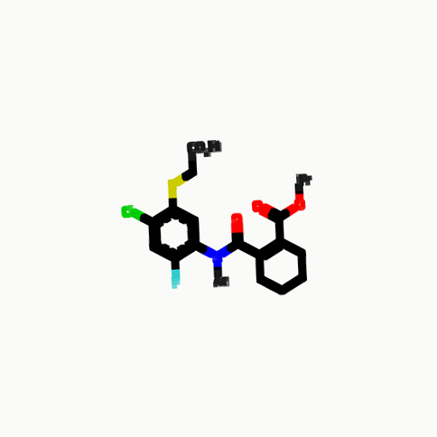 CCOC(=O)CSc1cc(N(C(C)=O)C(=O)C2=C(C(=O)OC(C)C)CCCC2)c(F)cc1Cl